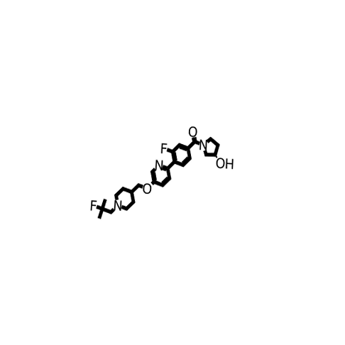 CC(C)(F)CN1CCC(COc2ccc(-c3ccc(C(=O)N4CC[C@H](O)C4)cc3F)nc2)CC1